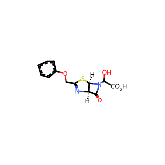 O=C(O)C(O)N1C(=O)[C@H]2N=C(COc3ccccc3)S[C@H]21